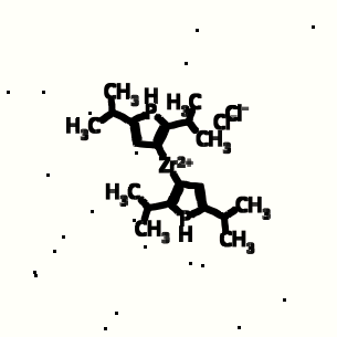 CC(C)c1c[c]([Zr+2][c]2cc(C(C)C)[pH]c2C(C)C)c(C(C)C)[pH]1.[Cl-].[Cl-]